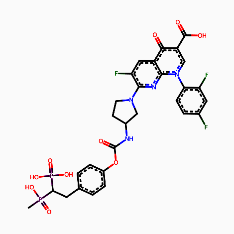 CP(=O)(O)C(Cc1ccc(OC(=O)NC2CCN(c3nc4c(cc3F)c(=O)c(C(=O)O)cn4-c3ccc(F)cc3F)C2)cc1)P(=O)(O)O